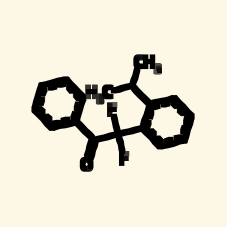 CC(C)c1ccccc1C(F)(F)C(=O)c1ccccc1